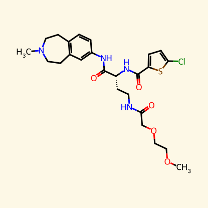 COCCOCC(=O)NCC[C@@H](NC(=O)c1ccc(Cl)s1)C(=O)Nc1ccc2c(c1)CCN(C)CC2